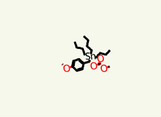 CCC[CH2][Sn]([CH2]CCC)([CH2]CCC)[CH](OC(=O)OC)c1ccc(OC)cc1